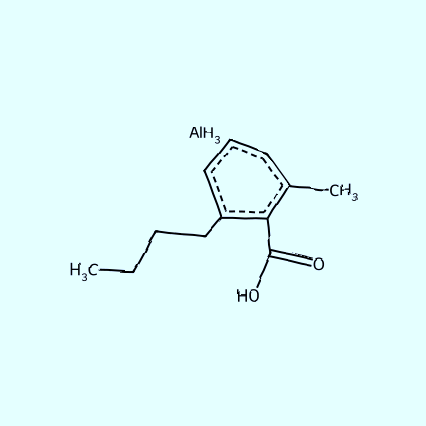 CCCCc1cccc(C)c1C(=O)O.[AlH3]